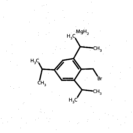 CC(C)c1cc(C(C)C)c(CBr)c(C(C)C)c1.[MgH2]